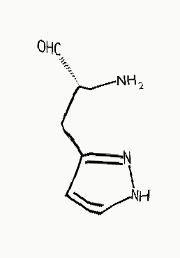 N[C@@H](C=O)Cc1cc[nH]n1